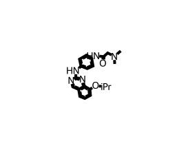 CC(C)Oc1cccc2cnc(Nc3ccc(NC(=O)CN(C)C)cc3)nc12